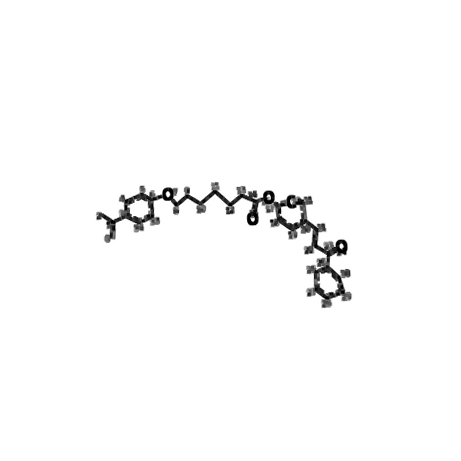 C=C(C)c1ccc(OCCCCCCC(=O)Oc2ccc(C=CC(=O)c3ccccc3)cc2)cc1